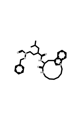 CC(C)CC(CCN(C=O)OCc1ccccc1)C(=O)NC1Cc2cn(c3ccccc23)CCCCCCNC1=O